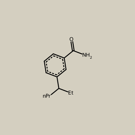 CCCC(CC)c1cccc(C(N)=O)c1